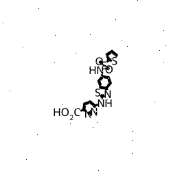 O=C(O)c1ccc(Nc2nc3ccc(NS(=O)(=O)c4cccs4)cc3s2)nn1